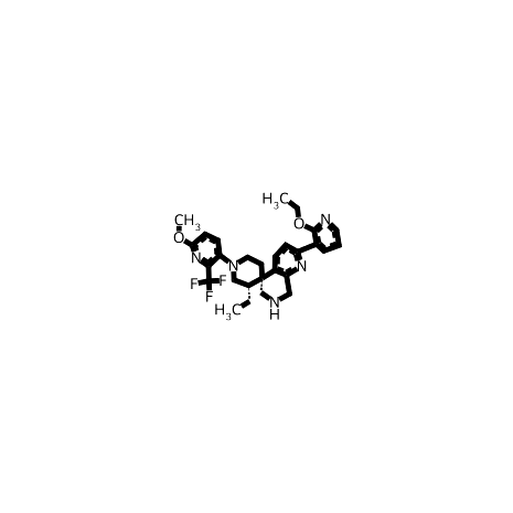 CCOc1ncccc1-c1ccc2c(n1)CNC[C@]21CCN(c2ccc(OC)nc2C(F)(F)F)C[C@H]1CC